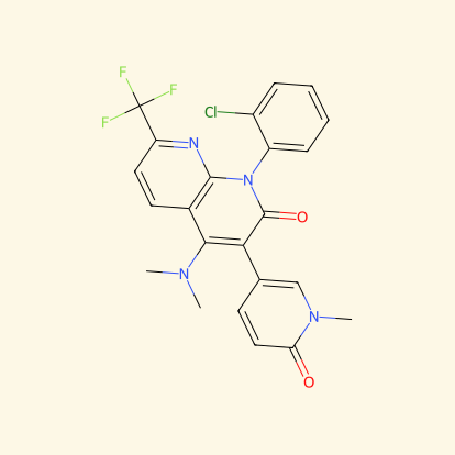 CN(C)c1c(-c2ccc(=O)n(C)c2)c(=O)n(-c2ccccc2Cl)c2nc(C(F)(F)F)ccc12